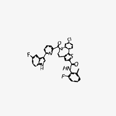 Cc1cccc(F)c1NC(=O)c1cc2c(s1)-c1ccc(Cl)cc1N(C(=O)c1cccc(-c3c[nH]c4ccc(F)cc34)n1)CC2